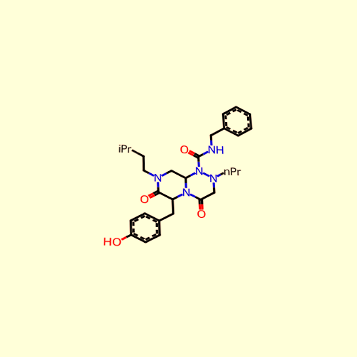 CCCN1CC(=O)N2C(Cc3ccc(O)cc3)C(=O)N(CCC(C)C)CC2N1C(=O)NCc1ccccc1